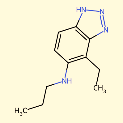 CCCNc1ccc2[nH]nnc2c1CC